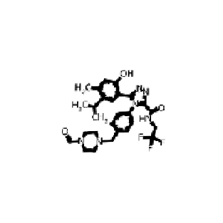 Cc1cc(O)c(-c2nnc(C(=O)NCC(F)(F)F)n2-c2ccc(CN3CCN(C=O)CC3)cc2)cc1C(C)C